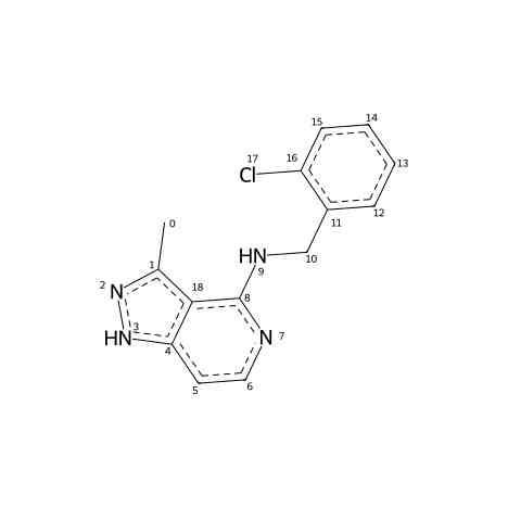 Cc1n[nH]c2ccnc(NCc3ccccc3Cl)c12